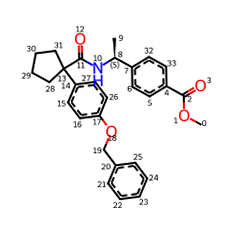 COC(=O)c1ccc([C@H](C)NC(=O)C2(c3ccc(OCc4ccccc4)cc3)CCCC2)cc1